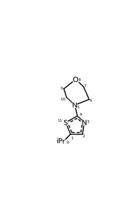 CC(C)c1cnc(N2CCOCC2)s1